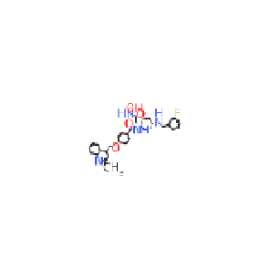 Cc1cc(COc2ccc(C(=O)N[C@]3(CC(=O)NO)CC[C@@H](NCc4cccc(F)c4)CC3)cc2)c2ccccc2n1